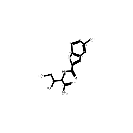 CCC(C)C(NC(=O)c1cc2cc(O)ccc2[nH]1)C(N)=O